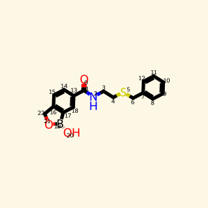 O=C(NCCSCc1ccccc1)c1ccc2c(c1)B(O)OC2